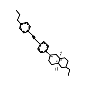 CCCc1ccc(C#Cc2ccc([C@@H]3CC[C@@H]4CC(CC)CC[C@@H]4C3)cc2)cc1